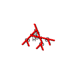 CCCCCCCCC(CCCCCCCC)OC(=O)CCCCCCCN(CCCCCCCC(=O)OC(CCCCCCCC)CCCCCCCC)C(C)CNC(=O)CCC(=O)NCC(C)N(CCCCCCCC(=O)OC(CCCCCCCC)CCCCCCCC)CCCCCCC(C)(C)C(=O)OC(CCCCCCCC)CCCCCCCC